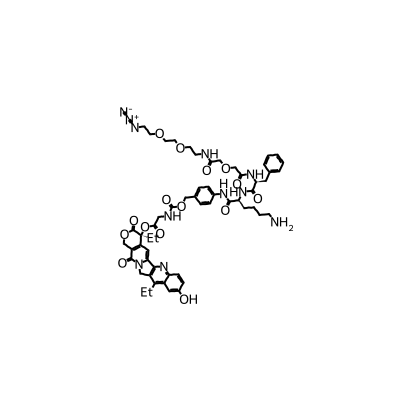 CCc1c2c(nc3ccc(O)cc13)-c1cc3c(c(=O)n1C2)COC(=O)[C@@]3(CC)OC(=O)CNC(=O)OCc1ccc(NC(=O)[C@H](CCCCN)NC(=O)[C@H](Cc2ccccc2)NC(=O)COCC(=O)NCCOCCOCCN=[N+]=[N-])cc1